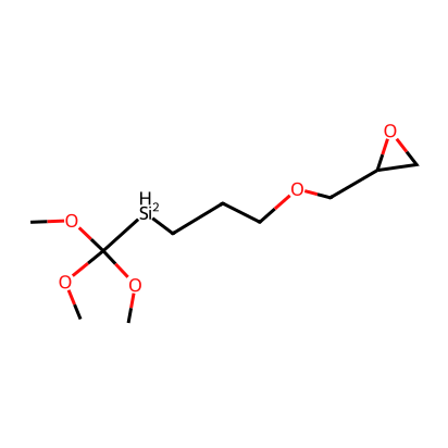 COC(OC)(OC)[SiH2]CCCOCC1CO1